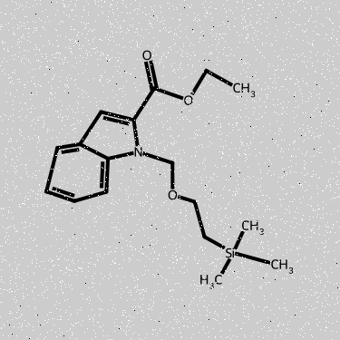 CCOC(=O)c1cc2ccccc2n1COCC[Si](C)(C)C